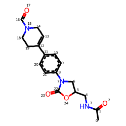 CC(=O)NCC1CN(c2ccc(C3=CCN(C=O)CC3)cc2)C(=O)O1